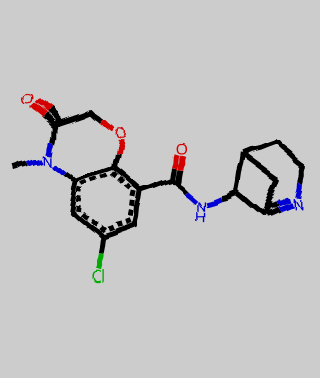 CN1C(=O)COc2c(C(=O)NC3C4=NCCC3C4)cc(Cl)cc21